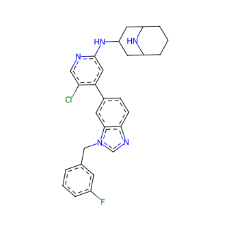 Fc1cccc(Cn2cnc3ccc(-c4cc(NC5CC6CCCC(C5)N6)ncc4Cl)cc32)c1